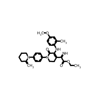 C=C1CCCCN1c1ccc(N2CCC(C(=N)C(=O)OCC)=C(Nc3ccc(OC)cc3C)C2=O)cc1